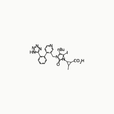 CCCCc1c(I)n(C2C(C)C2C(=O)O)c(=O)n1Cc1cnccc1-c1ccccc1-c1nnn[nH]1